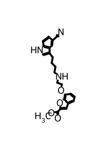 COC(=O)c1cc2cccc(OCCNCCCCc3c[nH]c4ccc(C#N)cc34)c2o1